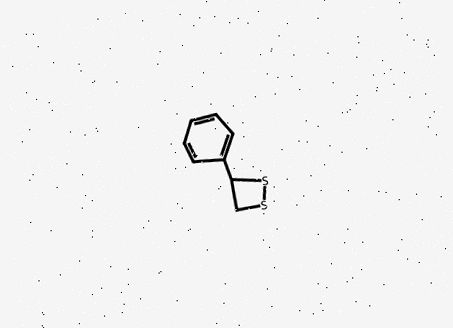 c1ccc(C2CSS2)cc1